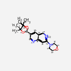 CC1(C)OB(c2cnc3cc(N4CCOCC4)ncc3c2)OC1(C)C